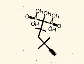 C#CC(C)(C)CC(C)(C)C(O)(P(=O)(O)O)P(=O)(O)O